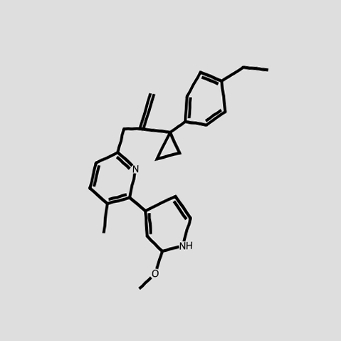 C=C(Cc1ccc(C)c(C2=CC(OC)NC=C2)n1)C1(c2ccc(CC)cc2)CC1